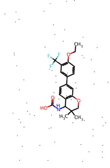 CCOc1ccc(-c2ccc3c(c2)OCC(C)(C)C3NC(=O)O)cc1C(F)(F)F